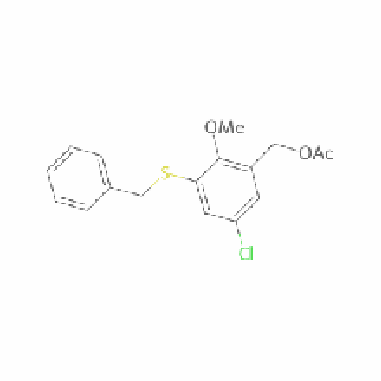 COc1c(COC(C)=O)cc(Cl)cc1SCc1ccccc1